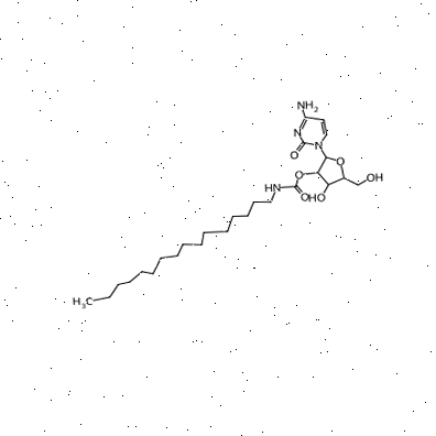 CCCCCCCCCCCCCCCCNC(=O)OC1C(O)C(CO)OC1n1ccc(N)nc1=O